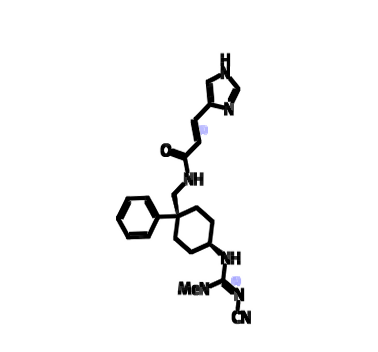 CN/C(=N\C#N)N[C@H]1CC[C@](CNC(=O)/C=C/c2c[nH]cn2)(c2ccccc2)CC1